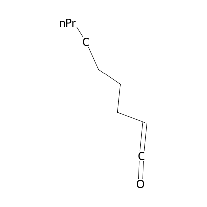 CCCCCCCC=C=O